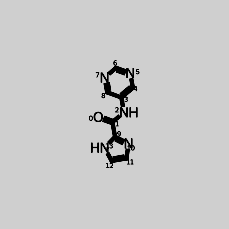 O=C(Nc1cncnc1)c1ncc[nH]1